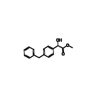 COC(=O)C(O)c1ccc(Cc2ccccc2)cc1